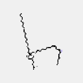 CCCCC/C=C\C/C=C\CCCCCCCCC1(CCCCCCCCCCCCCCCC)OCC(CCN(C)C)O1